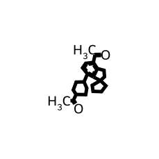 CC(=O)c1ccc(C2CCC(C(C)=O)CC2)c2c1CCC21CCCC1